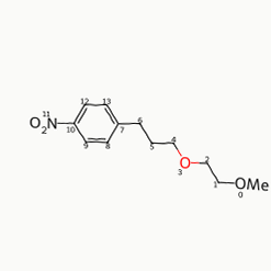 COCCOCCCc1ccc([N+](=O)[O-])cc1